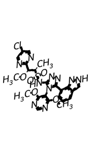 COc1ncnc(OC)c1-n1c(NS(=O)(=O)[C@@H](C)[C@H](OC)c2ncc(Cl)cn2)nnc1-c1cccc2c[nH]nc12